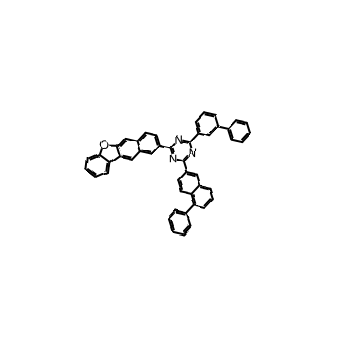 c1ccc(-c2cccc(-c3nc(-c4ccc5cc6oc7ccccc7c6cc5c4)nc(-c4ccc5c(-c6ccccc6)cccc5c4)n3)c2)cc1